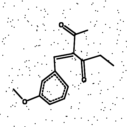 CCC(=O)C(=Cc1cccc(OC)c1)C(C)=O